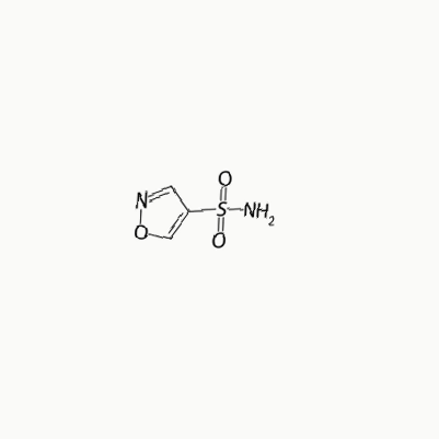 NS(=O)(=O)c1cnoc1